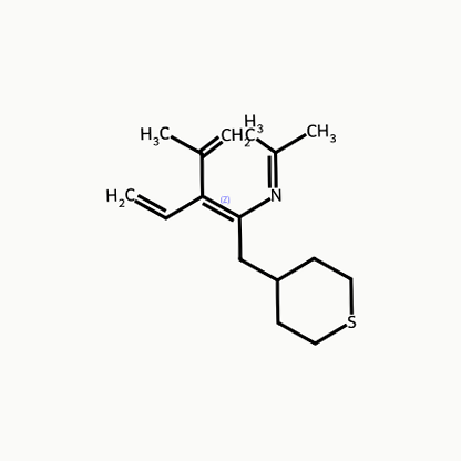 C=C/C(C(=C)C)=C(\CC1CCSCC1)N=C(C)C